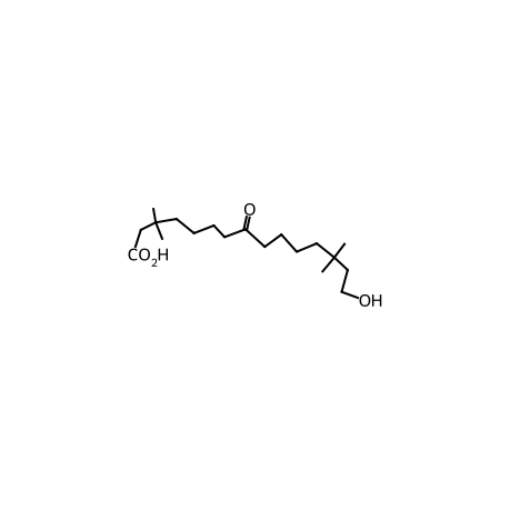 CC(C)(CCO)CCCCC(=O)CCCCC(C)(C)CC(=O)O